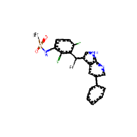 CCCS(=O)(=O)Nc1ccc(F)c(C(CC)c2c[nH]c3ncc(-c4ccccc4)cc23)c1F